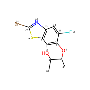 CC(O)C(C)Oc1cc2sc(Br)nc2cc1F